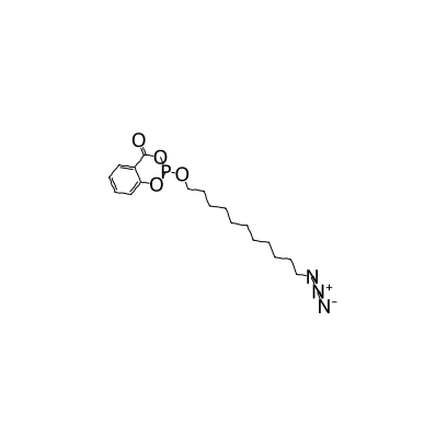 [N-]=[N+]=NCCCCCCCCCCCOP1OC(=O)c2ccccc2O1